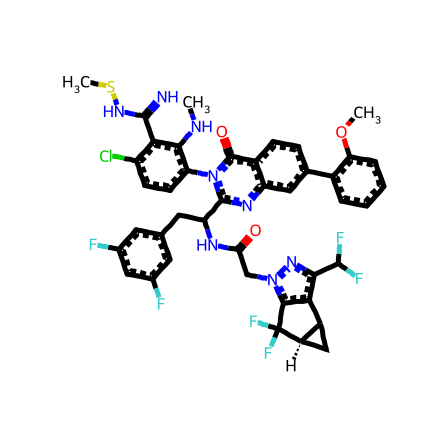 CNc1c(-n2c(C(Cc3cc(F)cc(F)c3)NC(=O)Cn3nc(C(F)F)c4c3C(F)(F)[C@@H]3CC43)nc3cc(-c4ccccc4OC)ccc3c2=O)ccc(Cl)c1C(=N)NSC